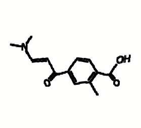 Cc1cc(C(=O)/C=C/N(C)C)ccc1C(=O)O